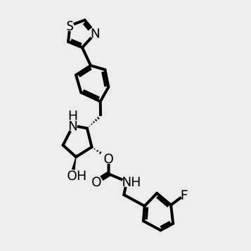 O=C(NCc1cccc(F)c1)O[C@@H]1[C@@H](O)CN[C@@H]1Cc1ccc(-c2cscn2)cc1